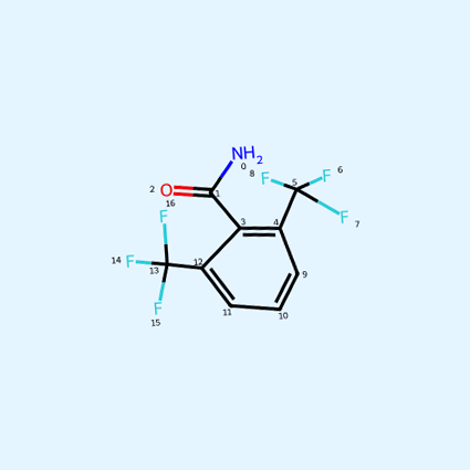 NC(=O)c1c(C(F)(F)F)cccc1C(F)(F)F